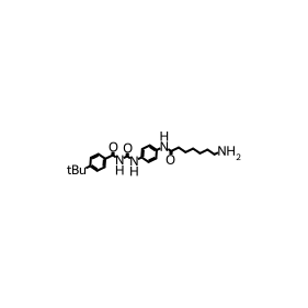 CC(C)(C)c1ccc(C(=O)NC(=O)Nc2ccc(NC(=O)CCCCCCN)cc2)cc1